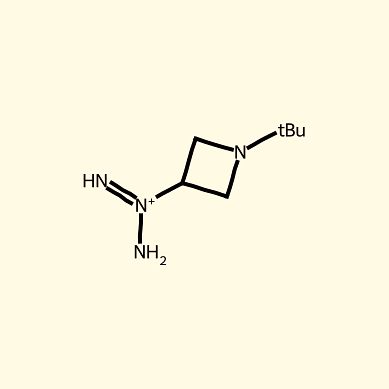 CC(C)(C)N1CC([N+](=N)N)C1